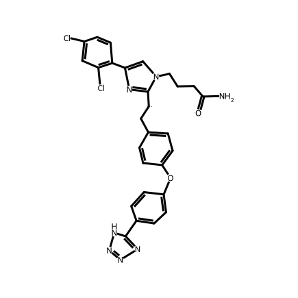 NC(=O)CCCn1cc(-c2ccc(Cl)cc2Cl)nc1[CH]Cc1ccc(Oc2ccc(-c3nnn[nH]3)cc2)cc1